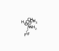 CC(C)(C)OC(=O)N(N)CCCC(F)F